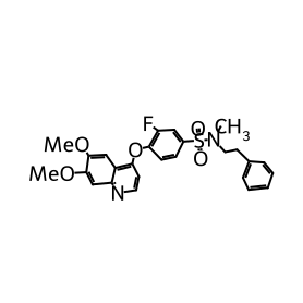 COc1cc2nccc(Oc3ccc(S(=O)(=O)N(C)CCc4ccccc4)cc3F)c2cc1OC